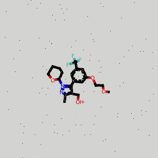 COCCOc1cc(-c2c(CO)c(C)nn2C2CCCCO2)cc(C(F)(F)F)c1